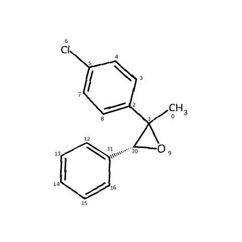 CC1(c2ccc(Cl)cc2)O[C@@H]1c1ccccc1